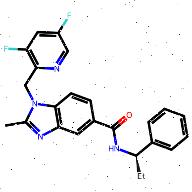 CC[C@@H](NC(=O)c1ccc2c(c1)nc(C)n2Cc1ncc(F)cc1F)c1ccccc1